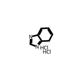 C1=CCC2=NC=NC2=C1.Cl.Cl